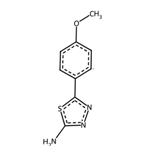 COc1c[c]c(-c2nnc(N)s2)cc1